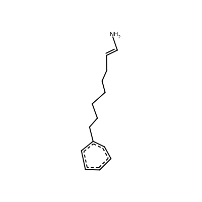 NC=CCCCCCCc1ccccc1